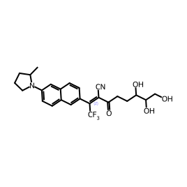 CC1CCCN1c1ccc2cc(/C(=C(\C#N)C(=O)CCC(O)C(O)CO)C(F)(F)F)ccc2c1